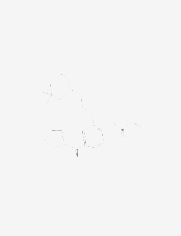 C=CC(=O)Nc1ccc(C(=O)N2CCCC2)cc1OCCN1CCCC(F)(F)C1